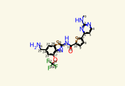 CNc1nccc(-c2ccc(C(=O)Nc3nc4c(OC(F)(F)F)cc(CN)cc4s3)s2)n1